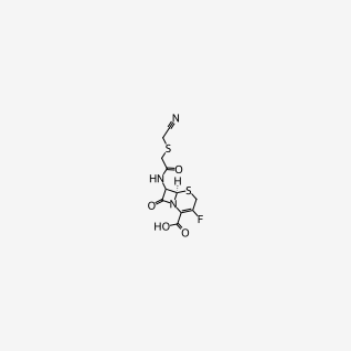 N#CCSCC(=O)NC1C(=O)N2C(C(=O)O)=C(F)CS[C@H]12